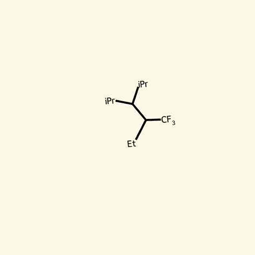 CCC(C(C(C)C)C(C)C)C(F)(F)F